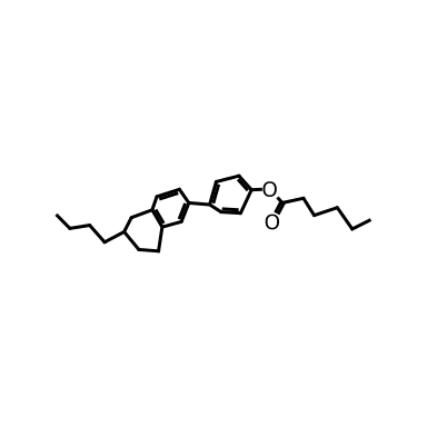 CCCCCC(=O)Oc1ccc(-c2ccc3c(c2)CCC(CCCC)C3)cc1